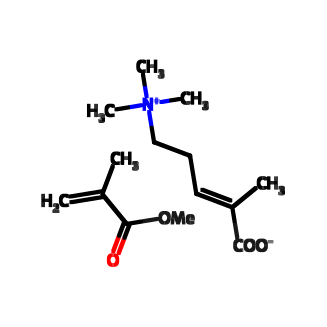 C=C(C)C(=O)OC.CC(=CCC[N+](C)(C)C)C(=O)[O-]